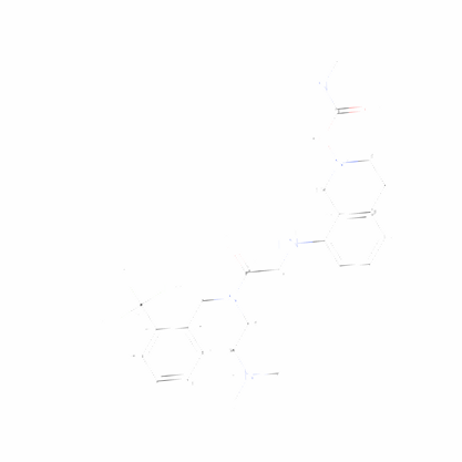 CNC(=O)ON1CCc2cccc(NCC(=O)N(CCN(C)C)Cc3ccccc3C(F)(F)F)c2C1